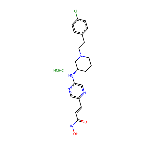 Cl.Cl.O=C(/C=C/c1cnc(N[C@@H]2CCCN(CCc3ccc(Cl)cc3)C2)cn1)NO